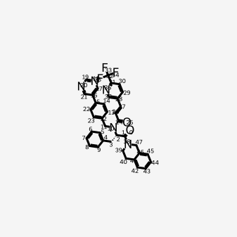 O=C([C@H](Cc1ccccc1)N(Cc1ccc(-c2cncnc2)cc1)C(=O)C=Cc1ccc(C(F)(F)F)nc1)N1CCc2ccccc2C1